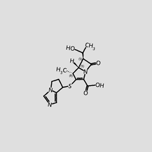 CC(O)[C@H]1C(=O)N2C(C(=O)O)=C(SC3CCn4cncc43)[C@H](C)[C@H]12